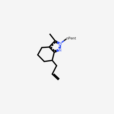 C=CCC1CCCc2c1nn(CCCCC)c2C